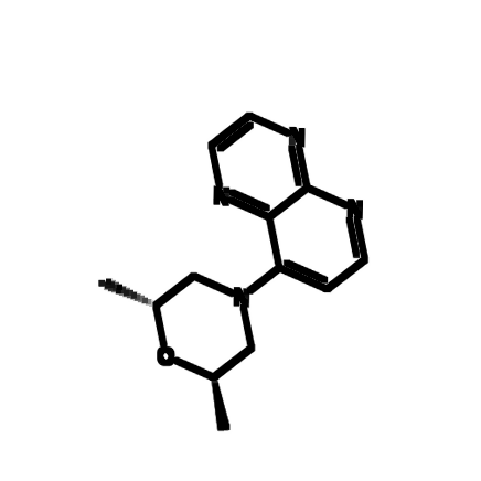 [CH2][C@@H]1CN(c2ccnc3nccnc23)C[C@@H](C)O1